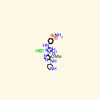 COc1c(N[C@H]2CCCNC2)ncnc1-n1nc(Nc2ccc(S(N)(=O)=O)cc2)nc1N.Cl.Cl